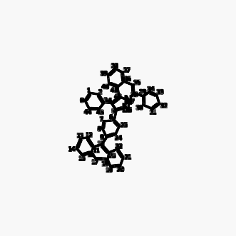 c1ccc(-c2c(-c3ccc(-c4c5ccccc5cc5ccccc45)cc3)nn3c(-c4ccccc4)cc4ccccc4c23)cc1